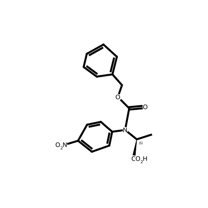 C[C@@H](C(=O)O)N(C(=O)OCc1ccccc1)c1ccc([N+](=O)[O-])cc1